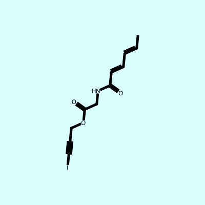 CC=CC=CC(=O)NCC(=O)OCC#CI